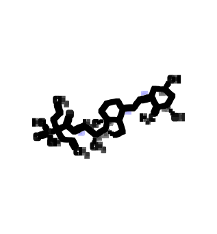 C=CCC(CC=C)(C(=O)/C=C/[C@@H](C)[C@H]1CCC2/C(=C/C=C3/C[C@@H](O)C[C@H](O)C3=C)CCC[C@@]21C)P(=O)(O)O